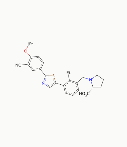 CCc1c(CN2CCC[C@@H]2C(=O)O)cccc1-c1cnc(-c2ccc(OC(C)C)c(C#N)c2)s1